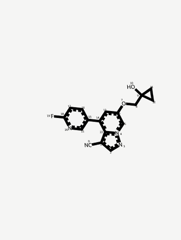 N#Cc1cnn2cc(OCC3(O)CC3)cc(-c3ccc(F)nc3)c12